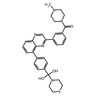 CN1CCN(C(=O)c2cccc(-c3cnc4cccc(-c5ccc(C(O)(O)N6CCSCC6)cc5)c4n3)c2)CC1